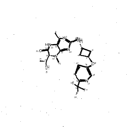 Cc1nc(N[C@H]2C[C@H](Oc3ccc(C(F)(F)F)nc3)C2)nc2c1NC(=O)[C@H]([C@H](C)O)N2C